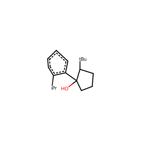 CC(C)c1ccccc1C1(O)CCCC1C(C)(C)C